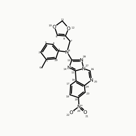 Cc1cccc(N(CC2=COCO2)c2nc3c4ccc([N+](=O)[O-])cc4ncn3n2)c1